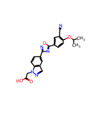 CC(C)Oc1ccc(-c2nc(-c3ccc4c(cnn4CC(=O)O)c3)no2)cc1C#N